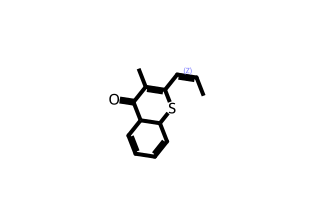 C/C=C\C1=C(C)C(=O)C2C=CC=CC2S1